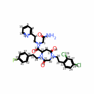 NC(=O)CN(CCc1ccccn1)C(=O)C1CC(=O)N(CCc2ccc(Cl)cc2Cl)CC(=O)N1CCc1ccc(F)cc1